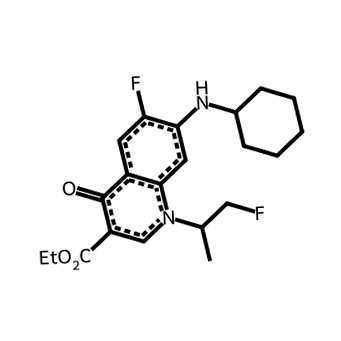 CCOC(=O)c1cn(C(C)CF)c2cc(NC3CCCCC3)c(F)cc2c1=O